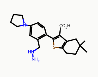 CC1(C)CCc2sc(-c3ccc(N4CCCC4)cc3CNN)c(C(=O)O)c2C1